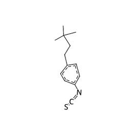 CC(C)(C)CCc1ccc(N=C=S)cc1